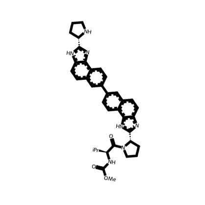 COC(=O)N[C@H](C(=O)N1CCC[C@H]1c1nc2ccc3cc(-c4ccc5c(ccc6[nH]c([C@@H]7CCCN7)nc65)c4)ccc3c2[nH]1)C(C)C